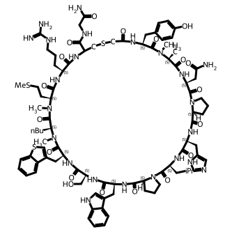 CCCC[C@H]1C(=O)N(C)[C@@H](CCSC)C(=O)N[C@@H](CCCNC(=N)N)C(=O)NC(C(=O)NCC(N)=O)CSCC(=O)N[C@@H](Cc2ccc(O)cc2)C(=O)N(C)[C@@H](C)C(=O)N[C@@H](CC(N)=O)C(=O)N2CCC[C@H]2C(=O)N[C@@H](Cc2cnc[nH]2)C(=O)N[C@@H](CC(C)C)C(=O)N2CCC[C@H]2C(=O)N[C@@H](Cc2c[nH]c3ccccc23)C(=O)N[C@@H](CO)C(=O)N[C@@H](Cc2csc3ccccc23)C(=O)N1C